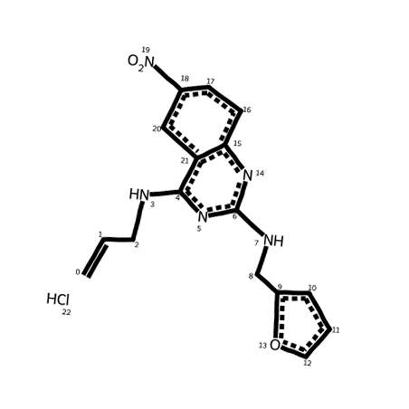 C=CCNc1nc(NCc2ccco2)nc2ccc([N+](=O)[O-])cc12.Cl